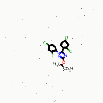 CC(Oc1nc(-c2ccc(Cl)cc2Cl)n(-c2ccc(Cl)cc2F)n1)C(=O)O